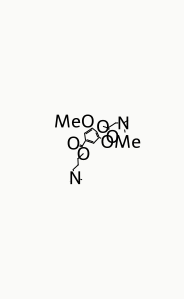 COc1cc(C(=O)OCCCN(C)C)cc(OC)c1OC(=O)CN(C)C